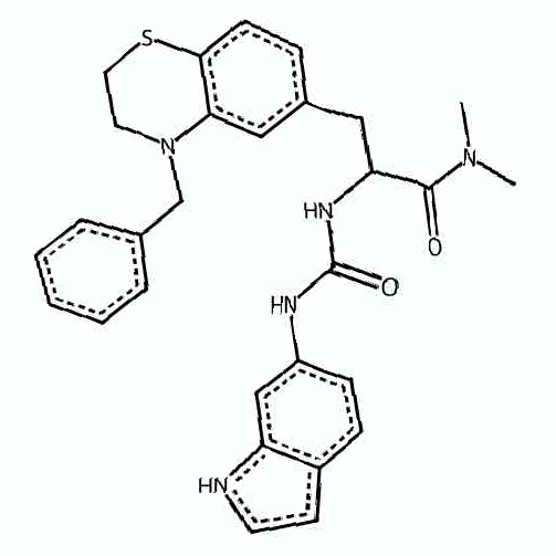 CN(C)C(=O)C(Cc1ccc2c(c1)N(Cc1ccccc1)CCS2)NC(=O)Nc1ccc2cc[nH]c2c1